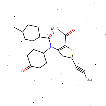 COC(=O)C1=C(N(C(=O)C2CCC(C)CC2)C2CCC(=O)CC2)CC(C#CC(C)(C)C)S1